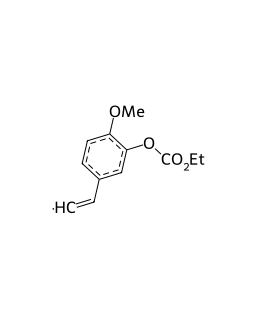 [CH]=Cc1ccc(OC)c(OC(=O)OCC)c1